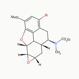 CCOC(=O)N(C)[C@@H]1Cc2c(Br)cc(OC)c3c2C2[C@H]1C[C@@H]1O[C@@H]1[C@@H]2O3